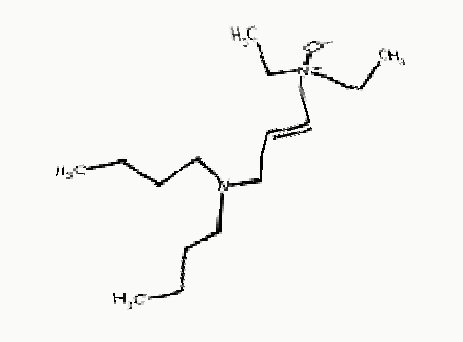 CCCCN(C/C=C/[N+]([O-])(CC)CC)CCCC